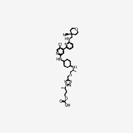 C[C@H](CCOC(=O)O)n1nnc(COC[C@H](C)NC2CCC(Nc3cc(-c4cccc(NCC5(C#N)CCOCC5)n4)c(Cl)cn3)CC2)n1